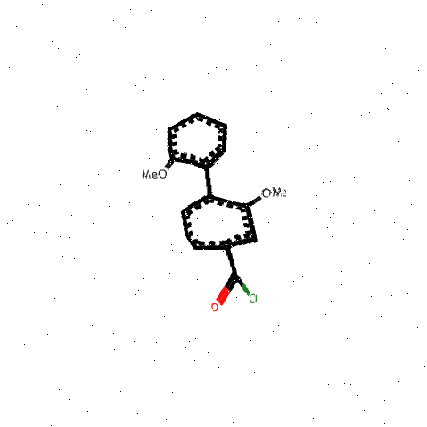 COc1ccccc1-c1ccc(C(=O)Cl)cc1OC